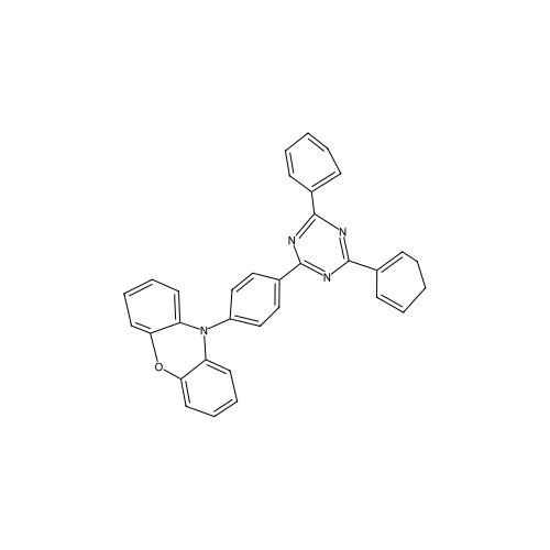 C1=CC(c2nc(-c3ccccc3)nc(-c3ccc(N4c5ccccc5Oc5ccccc54)cc3)n2)=CCC1